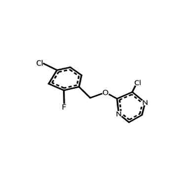 Fc1cc(Cl)ccc1COc1nccnc1Cl